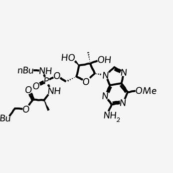 CCCCNP(=O)(N[C@@H](C)C(=O)OCC(C)(C)C)OC[C@H]1O[C@@H](n2cnc3c(OC)nc(N)nc32)[C@](C)(O)[C@@H]1O